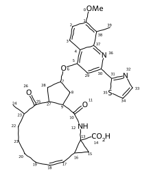 COc1ccc2c(OC3CC4C(=O)NC5(C(=O)O)CC5/C=C\CCCCC(C)C(=O)C4C3)cc(-c3nccs3)nc2c1C